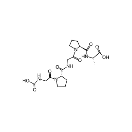 C[C@H](NC(=O)[C@@H]1CCCN1C(=O)CNC(=O)[C@@H]1CCCN1C(=O)CNC(=O)O)C(=O)O